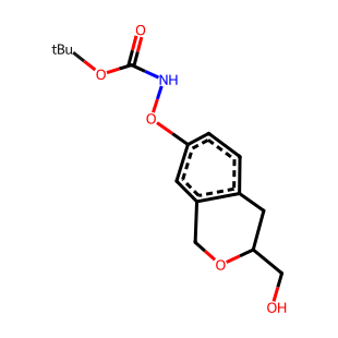 CC(C)(C)OC(=O)NOc1ccc2c(c1)COC(CO)C2